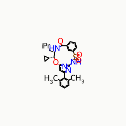 Cc1cccc(C)c1-c1cc2nc(n1)NS(=O)(=O)c1cccc(c1)C(=O)N[C@H](CC(C)C)[C@@H](C1CC1)O2